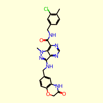 Cc1ccc(CNC(=O)c2ncnc3c(NCc4ccc5c(c4)NC(=O)CO5)nn(C)c23)cc1Cl